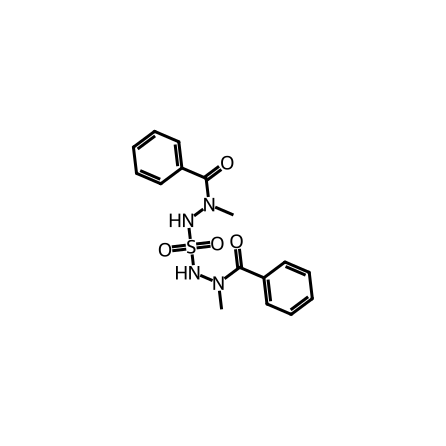 CN(NS(=O)(=O)NN(C)C(=O)c1ccccc1)C(=O)c1ccccc1